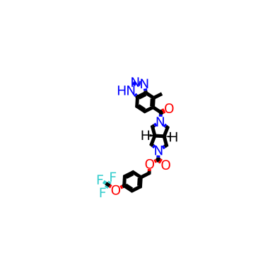 Cc1c(C(=O)N2C[C@H]3CN(C(=O)OCc4ccc(OC(F)(F)F)cc4)C[C@@H]3C2)ccc2[nH]nnc12